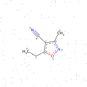 CCc1onc(C)c1C#N